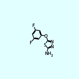 Nc1nnc(Oc2cc(F)cc(F)c2)s1